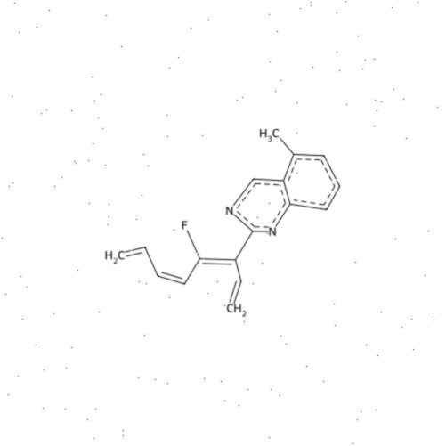 C=C/C=C\C(F)=C(/C=C)c1ncc2c(C)cccc2n1